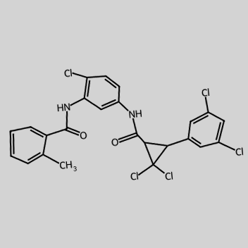 Cc1ccccc1C(=O)Nc1cc(NC(=O)C2C(c3cc(Cl)cc(Cl)c3)C2(Cl)Cl)ccc1Cl